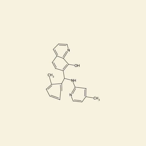 Cc1ccnc(NC(c2ccccc2C)c2ccc3cccnc3c2O)c1